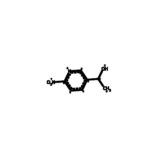 CC(O)c1ccc([N+](=O)[O-])nc1